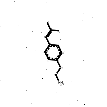 CC(C)=Cc1ccc(CCN)cc1